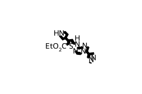 CCOC(=O)c1sc(NC2=NC=CN3C2=NCC3c2cnn(C)c2)cc1C1CCNCC1